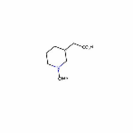 CON1CCC[C](CC(=O)O)C1